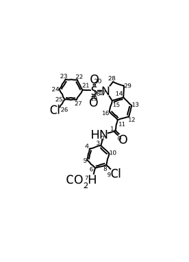 O=C(Nc1ccc(C(=O)O)c(Cl)c1)c1ccc2c(c1)N(S(=O)(=O)c1cccc(Cl)c1)CC2